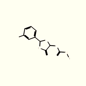 CC(C)NC(=O)OC1SC(c2cccc(C(F)(F)F)c2)NC1=O